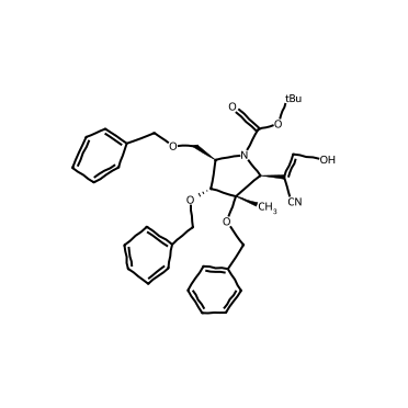 CC(C)(C)OC(=O)N1[C@H](COCc2ccccc2)[C@@H](OCc2ccccc2)[C@@](C)(OCc2ccccc2)[C@@H]1/C(C#N)=C/O